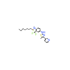 CCCCCCCCN(C)c1ccc(Nc2nc(-c3cccnc3)c(C)s2)cc1C(F)(F)F